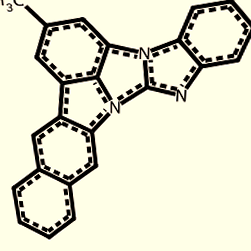 Cc1cc2c3cc4ccccc4cc3n3c2c(c1)n1c2ccccc2nc13